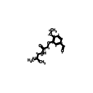 COc1ccc(C=O)cc1OCC(=O)NCC(C)C